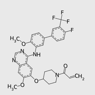 C=CC(=O)N1CCC(Oc2cc3c(Nc4cc(-c5ccc(F)c(C(F)(F)F)c5)ccc4OC)ncnc3cc2OC)CC1